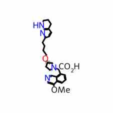 COc1cncc2c(C(C(=O)O)N3CC[C@@H](OCCCCc4ccc5c(n4)NCCC5)C3)cccc12